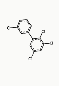 Clc1cccc(-c2cc(Cl)cc(Cl)c2Cl)c1